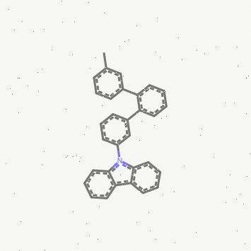 Cc1cccc(-c2ccccc2-c2cccc(-n3c4ccccc4c4ccccc43)c2)c1